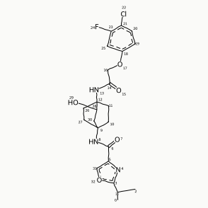 CC(C)c1nc(C(=O)NC23CCC(NC(=O)COc4ccc(Cl)c(F)c4)(CC2)C(O)C3)co1